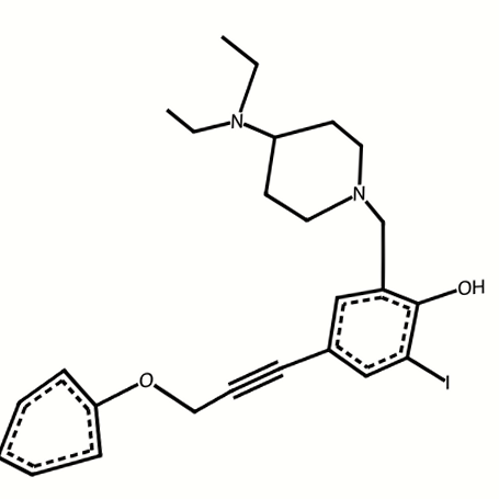 CCN(CC)C1CCN(Cc2cc(C#CCOc3ccccc3)cc(I)c2O)CC1